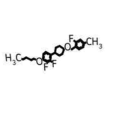 CCCCCOc1ccc(C2CCC(OCc3ccc(C)cc3F)CC2)c(F)c1F